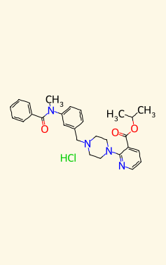 CC(C)OC(=O)c1cccnc1N1CCN(Cc2cccc(N(C)C(=O)c3ccccc3)c2)CC1.Cl